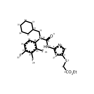 CCOC(=O)CSc1cnc(NC(=O)N(CC2CCCCC2)c2ccc(F)c(F)c2F)s1